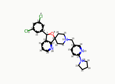 Clc1cc(Cl)cc(C2OC3(CCN(Cc4ccc(N5CCCC5)nc4)CC3)c3ncccc32)c1